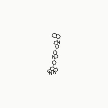 c1ccc2c(-c3ccc4cc(-c5ccc6nc(-c7ccc(-c8cc9cccnc9c9ncccc89)cc7)ccc6c5)ccc4n3)cccc2c1